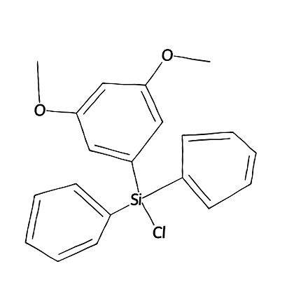 COc1cc(OC)cc([Si](Cl)(c2ccccc2)c2ccccc2)c1